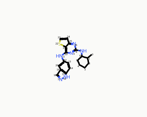 CC1CCCCC1Nc1nc(Nc2ccc3[nH]ncc3c2)c2sccc2n1